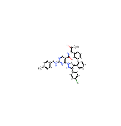 COC(=O)[C@@H](NC(=O)c1cnc(NCc2ccc(C(F)(F)F)cc2)nc1N1CC(c2ccccc2)C(c2ccc(Cl)cc2)=N1)c1ccccc1